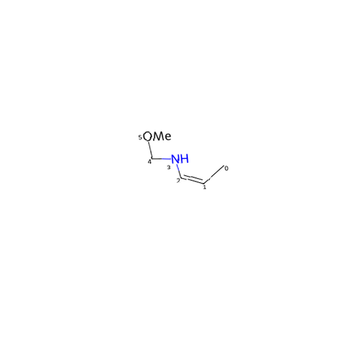 C/C=C\NCOC